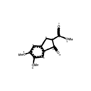 COC(=O)C1Cc2cc(OC)c(OC)cc2C1=O